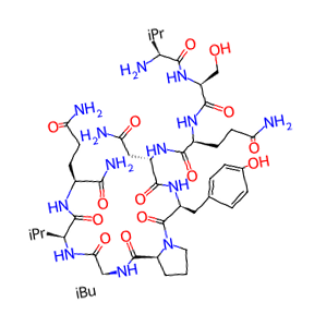 CC[C@H](C)[C@H](NC(=O)[C@@H]1CCCN1C(=O)[C@H](Cc1ccc(O)cc1)NC(=O)[C@H](CC(N)=O)NC(=O)[C@H](CCC(N)=O)NC(=O)[C@H](CO)NC(=O)[C@@H](N)C(C)C)C(=O)N[C@H](C(=O)N[C@@H](CCC(N)=O)C(N)=O)C(C)C